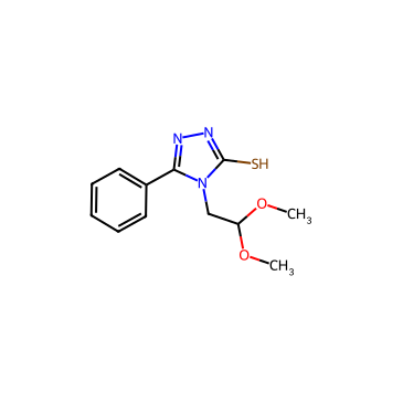 COC(Cn1c(S)nnc1-c1ccccc1)OC